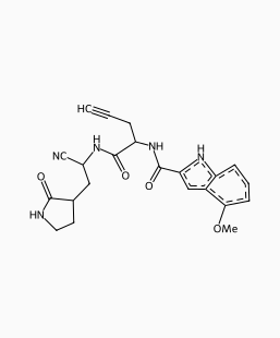 C#CCC(NC(=O)c1cc2c(OC)cccc2[nH]1)C(=O)NC(C#N)CC1CCNC1=O